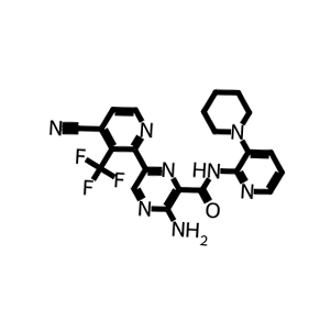 N#Cc1ccnc(-c2cnc(N)c(C(=O)Nc3ncccc3N3CCCCC3)n2)c1C(F)(F)F